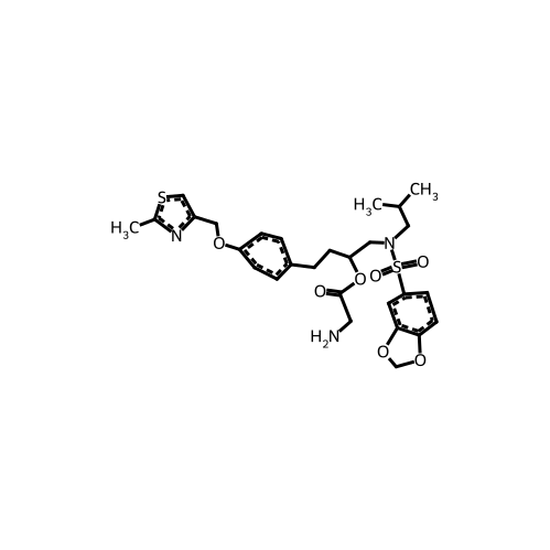 Cc1nc(COc2ccc(CCC(CN(CC(C)C)S(=O)(=O)c3ccc4c(c3)OCO4)OC(=O)CN)cc2)cs1